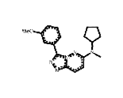 COc1cccc(-c2nnc3ccc(N(C)C4CCCC4)nn23)c1